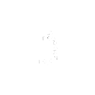 O=C(O)C1CCN(CC2=Cc3ccc(COc4ccc(-c5ccccc5F)c(C(F)(F)F)c4)cc3OC2)C1